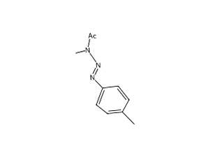 CC(=O)N(C)N=Nc1ccc(C)cc1